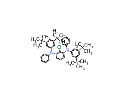 CC(C)(C)c1cc(N(c2ccccc2)c2cccc(N(c3ccccc3)c3cc(C(C)(C)C)cc(C(C)(C)C)c3)c2Cl)cc(C(C)(C)C)c1